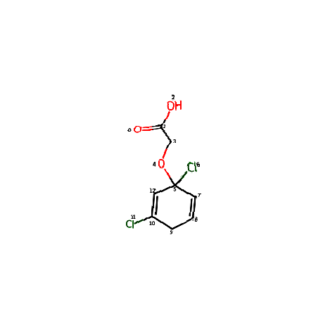 O=C(O)COC1(Cl)C=[C]CC(Cl)=C1